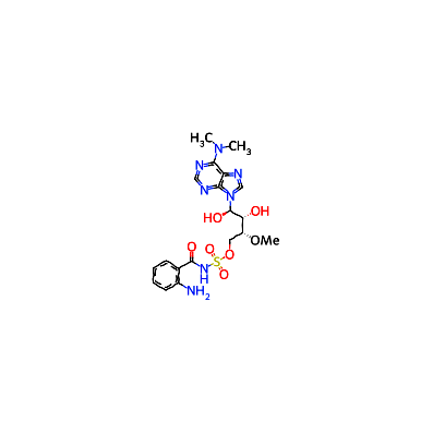 CO[C@H](COS(=O)(=O)NC(=O)c1ccccc1N)[C@@H](O)[C@@H](O)n1cnc2c(N(C)C)ncnc21